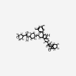 Cc1cc(C)cc(-c2[nH]c3sc(C(C)(C)CC4C5CCC4C(=O)N5)cc3c2CCN2CCC(NC(=O)C3CCOCC3)CC2)c1